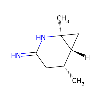 C[C@@H]1CC(=N)N[C@@]2(C)C[C@H]12